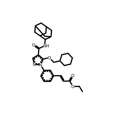 CCOC(=O)C=Cc1cccc(-n2ncc(C(=O)NC3C4CC5CC(C4)CC3C5)c2OCC2CCCCC2)c1